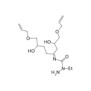 C=CCOCC(O)CCC(CC(O)COCC=C)=NC(=O)N(N)CC